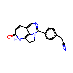 N#CCc1ccc(C2=NC=C3C=CC(=O)NC4=C3N2CC4)cc1